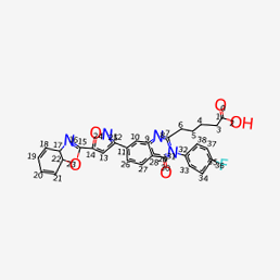 O=C(O)CCCCc1nc2cc(-c3cc(C4=NC5C=CC=CC5O4)on3)ccc2c(=O)n1-c1ccc(F)cc1